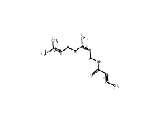 C/C=C/C(=O)NC/C=C(/C)CCC=C(C)C